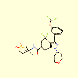 C[C@]1(NC(=O)C2Cc3c(c(-c4cccc(OC(F)F)c4)nn3C3CCOCC3)C(F)(F)C2)CCS(=O)(=O)C1